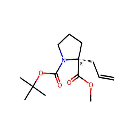 C=CC[C@@]1(C(=O)OC)CCCN1C(=O)OC(C)(C)C